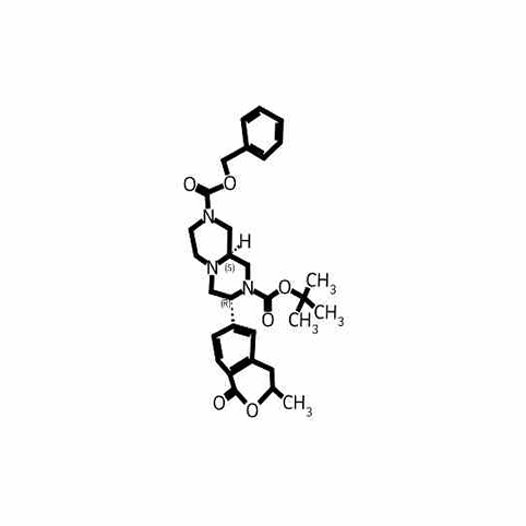 CC1Cc2cc([C@@H]3CN4CCN(C(=O)OCc5ccccc5)C[C@H]4CN3C(=O)OC(C)(C)C)ccc2C(=O)O1